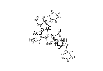 C=CC(OC(C)=O)C1=C(C(=O)OC(c2ccccc2)c2ccccc2)N2C(=O)[C@H](NC(=O)Cc3ccccc3)[C@H]2SC1